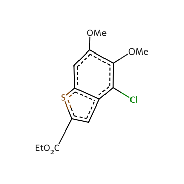 CCOC(=O)c1cc2c(Cl)c(OC)c(OC)cc2s1